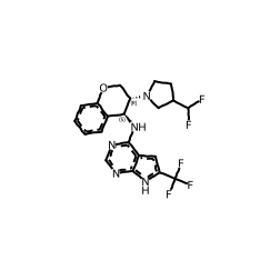 FC(F)C1CCN([C@H]2COc3ccccc3[C@@H]2Nc2ncnc3[nH]c(C(F)(F)F)cc23)C1